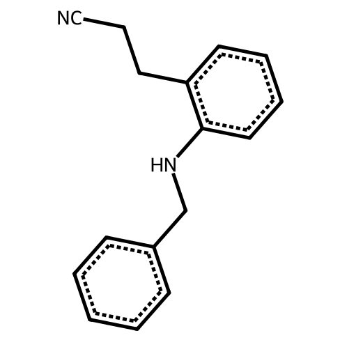 N#CCCc1ccccc1NCc1ccccc1